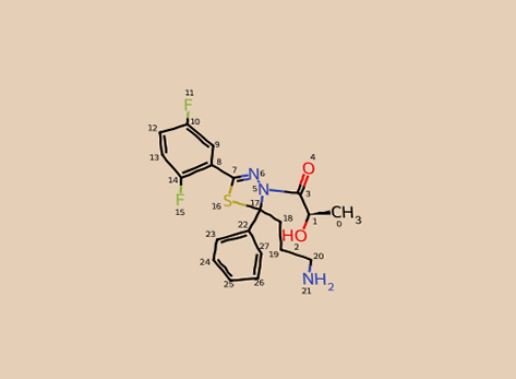 C[C@@H](O)C(=O)N1N=C(c2cc(F)ccc2F)SC1(CCCN)c1ccccc1